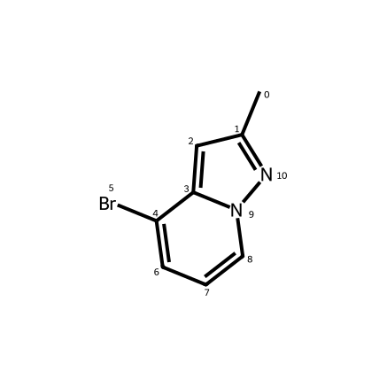 Cc1cc2c(Br)cccn2n1